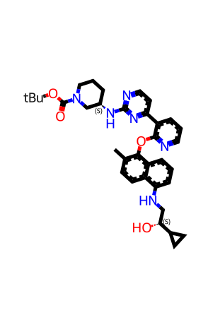 Cc1ccc2c(NC[C@@H](O)C3CC3)cccc2c1Oc1ncccc1-c1ccnc(N[C@H]2CCCN(C(=O)OC(C)(C)C)C2)n1